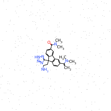 C=C(c1ccc2c(c1)-c1cc(C(=O)N(C)C)ccc1C2(CCN)c1nn[nH]n1)N(C)C